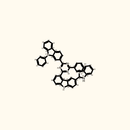 c1ccc(-c2nc(-c3ccc4c5ccccc5n(-c5ccccc5)c4c3)nc(-c3cccc4sc5ccc(C6Nc7ccccc7S6)cc5c34)n2)cc1